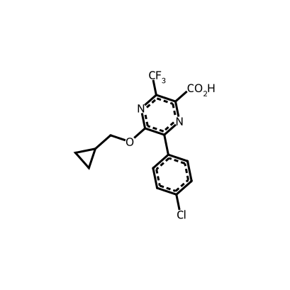 O=C(O)c1nc(-c2ccc(Cl)cc2)c(OCC2CC2)nc1C(F)(F)F